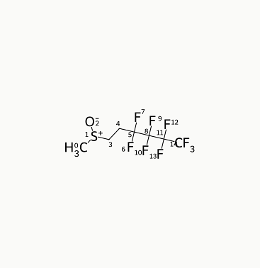 C[S+]([O-])CCC(F)(F)C(F)(F)C(F)(F)C(F)(F)F